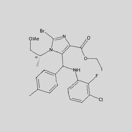 COC[C@@H](C)n1c(Br)nc(C(=O)OCI)c1C(Nc1cccc(Cl)c1F)c1ccc(C)cc1